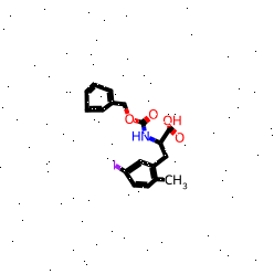 Cc1ccc(I)cc1CC(NC(=O)OCc1ccccc1)C(=O)O